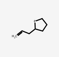 C=CCC1CCC[P]1